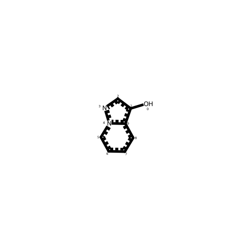 Oc1cnn2ccccc12